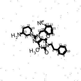 Cn1c(=O)n(CCc2ccccc2)c(=O)c2c1nc(N1CCCC(N)C1)n2Cc1ccccc1C#N